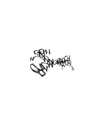 CC(C)(C)OC(=O)N1CCC[C@@H]1C1(COc2nc3c(c(N4CCN(C(=O)O)[C@@H](CC#N)C4)n2)CCN(c2cccc4ccccc24)C3)CC1